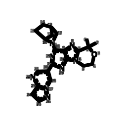 CC1(C)OCCn2c1nc1c(N3CC4CCC3C4)nc(-c3cnc4ccnn4c3)nc12